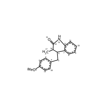 COc1ccc(CC2c3ccccc3NC(=O)C2C)cc1